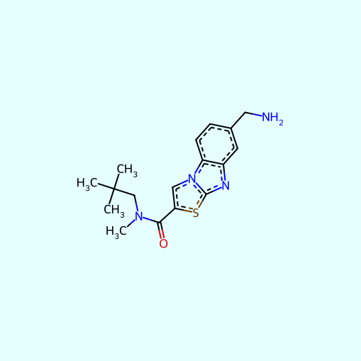 CN(CC(C)(C)C)C(=O)c1cn2c(nc3cc(CN)ccc32)s1